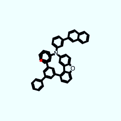 c1ccc(-c2cc(-c3ccccc3)cc(-c3cccc4oc5ccc(N(c6ccccc6)c6cccc(-c7ccc8ccccc8c7)c6)cc5c34)c2)cc1